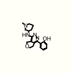 CN1CCCC(Nc2nnc(-c3ccccc3O)c3c2COCC3)C1